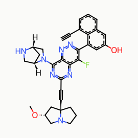 C#Cc1cccc2cc(O)cc(-c3nnc4c(N5C[C@@H]6C[C@H]5CN6)nc(C#C[C@@]56CCCN5C[C@H](OC)C6)nc4c3F)c12